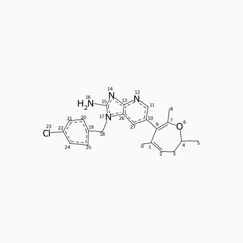 CC1=CCC(C)OC(C)=C1c1cnc2nc(N)n(Cc3ccc(Cl)cc3)c2c1